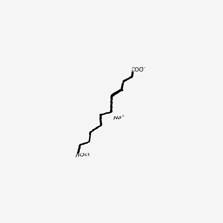 CCCCCCCCCCCCCCCCCCC(=O)[O-].[Na+]